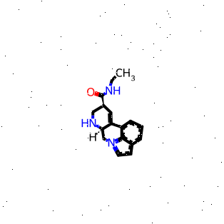 CCNC(=O)[C@H]1C=C2c3cccc4ccn(c34)C[C@H]2NC1